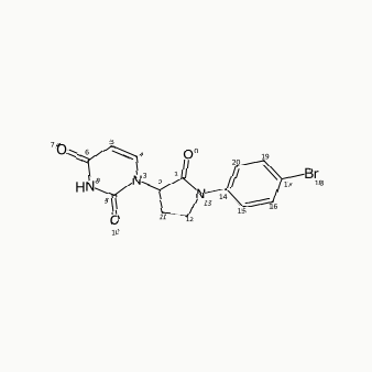 O=C1C(n2ccc(=O)[nH]c2=O)CCN1c1ccc(Br)cc1